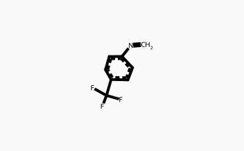 C=Nc1ccc(C(F)(F)F)cc1